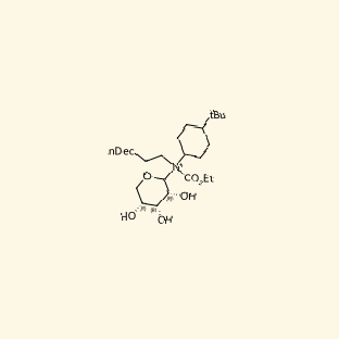 CCCCCCCCCCCC[N+](C(=O)OCC)(C1CCC(C(C)(C)C)CC1)C1OC[C@@H](O)[C@@H](O)[C@H]1O